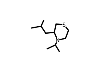 CC(C)CC1CSCCN1C(C)C